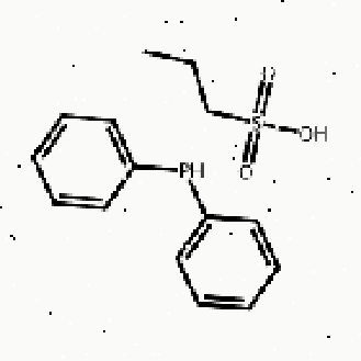 CCCS(=O)(=O)O.c1ccc(Pc2ccccc2)cc1